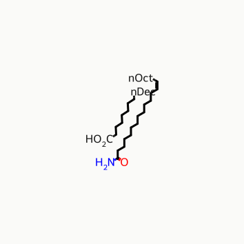 CCCCCCCC/C=C\CCCCCCCCCCCC(N)=O.CCCCCCCCCCCCCCCCCC(=O)O